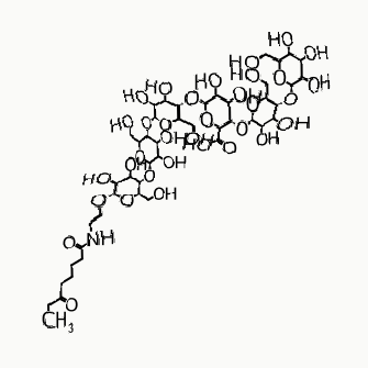 CCC(=O)CCCCC(=O)NCCO[C@H]1OC(CO)[C@H](O[C@H]2OC(CO)[C@@H](O[C@@H]3OC(CO)[C@@H](O[C@@H]4OC(C(=O)O)[C@@H](O[C@H]5OC(CO)[C@H](O[C@H]6OC(CO)[C@@H](O)C(O)C6O)C(O)C5O)C(O)C4O)C(O)C3O)C(O)C2O)C(O)C1O